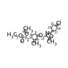 CCOC(=O)C(Cc1ccc(OCc2nc(-c3ccc(Cl)cc3)oc2C)cc1C)OCC